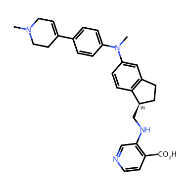 CN1CC=C(c2ccc(N(C)c3ccc4c(c3)CC[C@H]4CNc3cnccc3C(=O)O)cc2)CC1